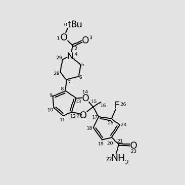 CC(C)(C)OC(=O)N1CCC(c2cccc3c2OC(C)(c2ccc(C(N)=O)cc2F)O3)CC1